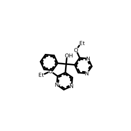 CCOc1ncncc1C(O)(c1ccccc1)c1cncnc1OCC